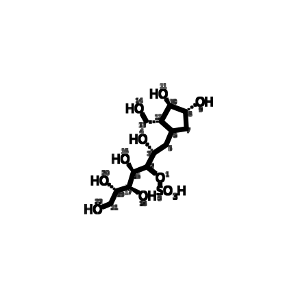 O=S(=O)(O)OC([C@H](O)CC1C[C@@H](O)[C@H](O)[C@H]1CO)[C@H](O)[C@@H](O)[C@@H](O)CO